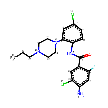 Nc1cc(F)c(C(=O)Nc2ccc(Cl)cc2N2CCN(CCC(F)(F)F)CC2)cc1Cl